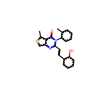 Cc1ccccc1-n1c(C=Cc2ccccc2O)nc2csc(C)c2c1=O